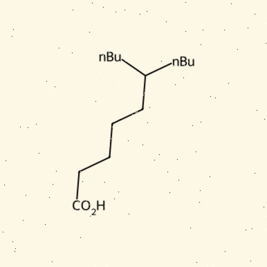 CCCCC(CCCC)CCCCC(=O)O